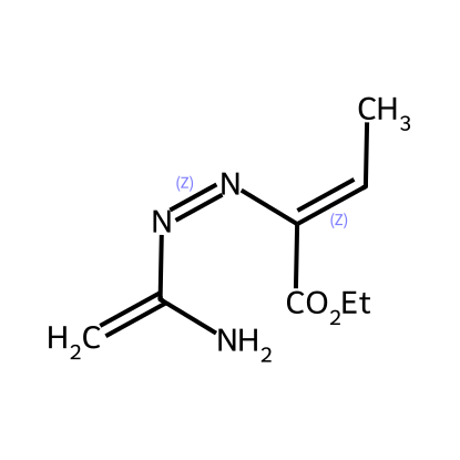 C=C(N)/N=N\C(=C/C)C(=O)OCC